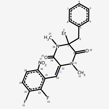 CCC1(Cc2ccccc2)C(=O)N(C)/C(=C/c2c([N+](=O)[O-])ccc(F)c2F)C(=O)N1C